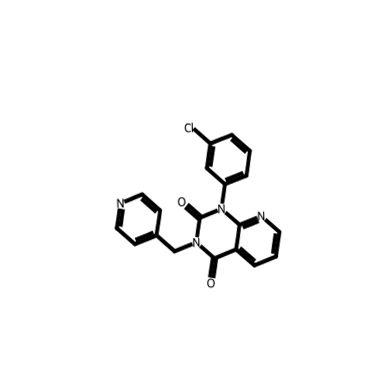 O=c1c2cccnc2n(-c2cccc(Cl)c2)c(=O)n1Cc1ccncc1